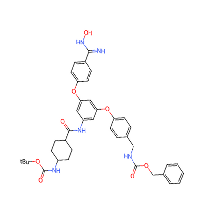 CC(C)(C)OC(=O)NC1CCC(C(=O)Nc2cc(Oc3ccc(CNC(=O)OCc4ccccc4)cc3)cc(Oc3ccc(C(=N)NO)cc3)c2)CC1